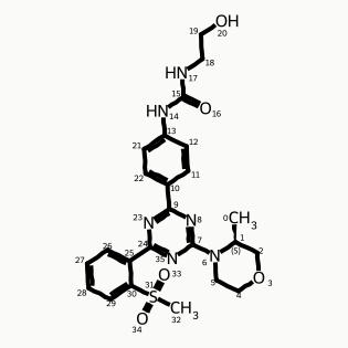 C[C@H]1COCCN1c1nc(-c2ccc(NC(=O)NCCO)cc2)nc(-c2ccccc2S(C)(=O)=O)n1